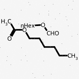 CCCCCCOC(C)=O.CCCCCCOC=O